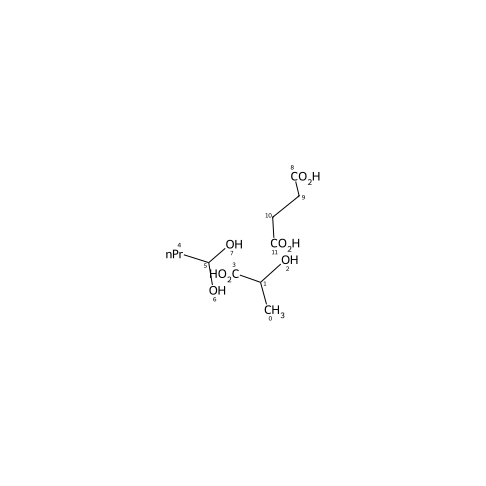 CC(O)C(=O)O.CCCC(O)O.O=C(O)CCC(=O)O